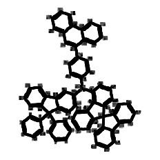 c1ccc(C2(c3ccccc3)c3ccccc3-c3cc(N(c4ccc(-c5cc6ccccc6c6ccccc56)cc4)c4cccc5c4-c4ccccc4C54c5ccccc5-c5ccccc54)ccc32)cc1